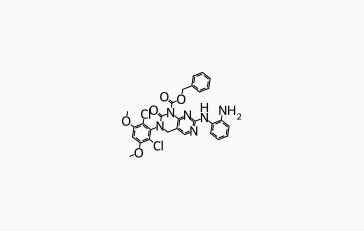 COc1cc(OC)c(Cl)c(N2Cc3cnc(Nc4ccccc4N)nc3N(C(=O)OCc3ccccc3)C2=O)c1Cl